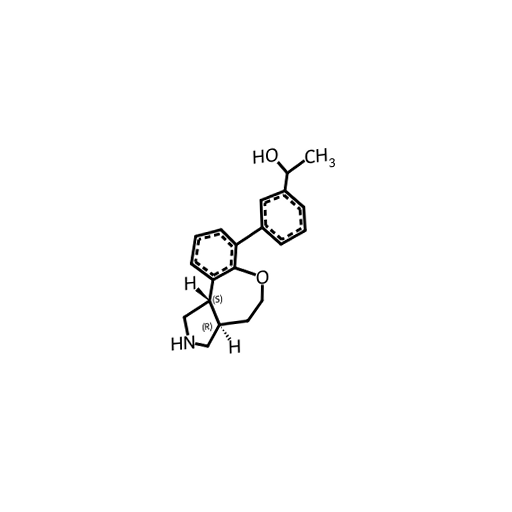 CC(O)c1cccc(-c2cccc3c2OCC[C@H]2CNC[C@H]32)c1